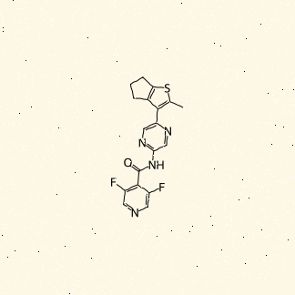 Cc1sc2c(c1-c1cnc(NC(=O)c3c(F)cncc3F)cn1)CCC2